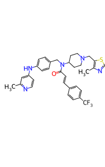 Cc1cc(Nc2ccc(CN(C(=O)/C=C/c3ccc(C(F)(F)F)cc3)C3CCN(Cc4scnc4C)CC3)cc2)ccn1